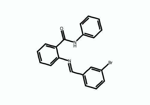 O=C(Nc1ccccc1)c1ccccc1N=Cc1cccc(Br)c1